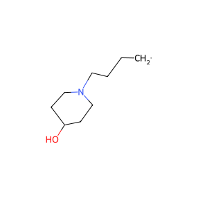 [CH2]CCCN1CCC(O)CC1